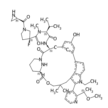 CCn1c(-c2cccnc2[C@H](C)OC)c2c3cc(ccc31)-c1cc(O)cc(c1)C[C@H](NC(=O)[C@H](C(C)C)N(C)C(=O)[C@]1(F)CCN(C(=O)[C@H]3CN3)C1)C(=O)N1CCC[C@H](N1)C(=O)OCC(C)(C)C2